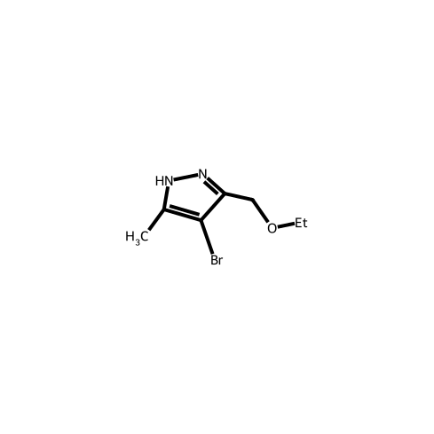 CCOCc1n[nH]c(C)c1Br